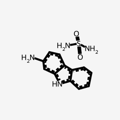 NS(N)(=O)=O.Nc1ccc2c(c1)[nH]c1ccccc12